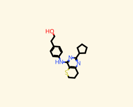 OCCc1ccc(Nc2nc(C3CCCC3)nc3c2SCCC3)cc1